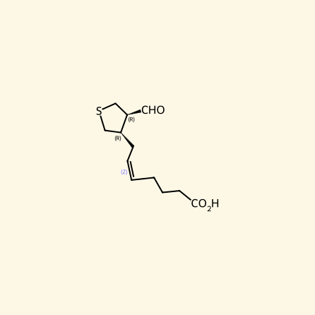 O=C[C@@H]1CSC[C@@H]1C/C=C\CCCC(=O)O